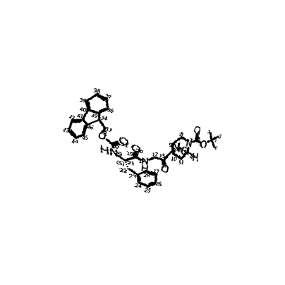 CC(C)(C)OC(=O)N1CC2CC[C@@H]1CN2C(=O)CNC(=O)[C@H](Cc1ccccc1)NC(=O)OCC1c2ccccc2-c2ccccc21